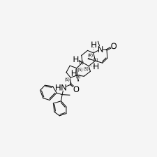 CN1C(=O)C=C[C@]2(C)[C@H]3CC[C@]4(C)[C@@H](C(=O)NC(C)(c5ccccc5)c5ccccc5)CC[C@H]4[C@@H]3CC[C@@H]12